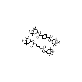 CC1(C)CC(OC(=O)CCCCC(=O)OC2CC(C)(C)NC(C)(C)C2)CC(C)(C)N1.CC1(C)CC(OC(=O)c2ccc(C(=O)OC3CC(C)(C)NC(C)(C)C3)cc2)CC(C)(C)N1